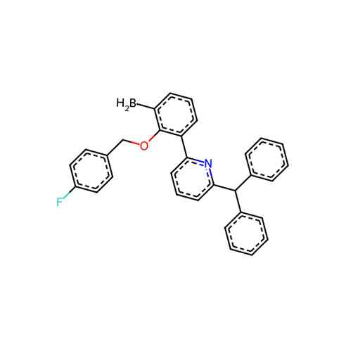 Bc1cccc(-c2cccc(C(c3ccccc3)c3ccccc3)n2)c1OCc1ccc(F)cc1